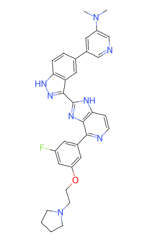 CN(C)c1cncc(-c2ccc3[nH]nc(-c4nc5c(-c6cc(F)cc(OCCN7CCCC7)c6)nccc5[nH]4)c3c2)c1